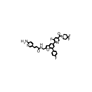 Nc1ccc(C=CC(=O)NCc2cc3cc(-c4ncc(C(=O)N5CCC(F)(F)CC5)cc4F)cc(-c4ccc(F)cc4)c3o2)cn1